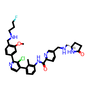 COc1cc(-c2nccc(-c3cccc(NC(=O)c4ccc(CNC[C@@H]5CCC(=O)N5)cn4)c3C)c2Cl)ccc1CNCCCF